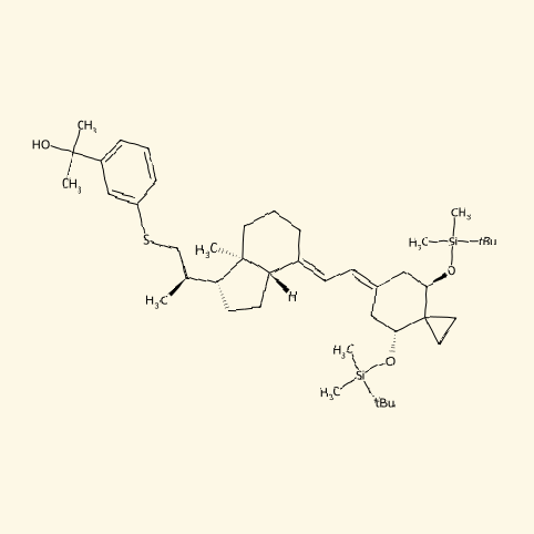 C[C@@H](CSc1cccc(C(C)(C)O)c1)[C@H]1CC[C@H]2/C(=C/C=C3C[C@@H](O[Si](C)(C)C(C)(C)C)C4(CC4)[C@H](O[Si](C)(C)C(C)(C)C)C3)CCC[C@]12C